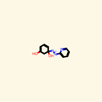 OC1=CC=CC(O)(/N=N/c2ccccn2)C1